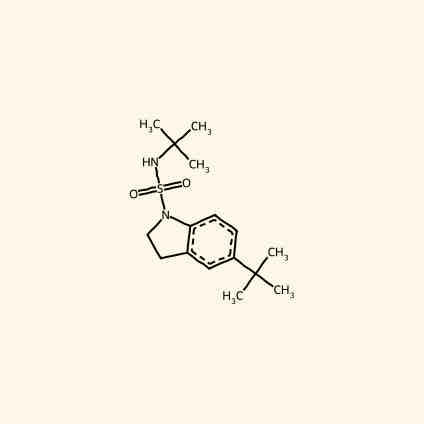 CC(C)(C)NS(=O)(=O)N1CCc2cc(C(C)(C)C)ccc21